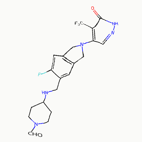 O=CN1CCC(NCc2cc3c(cc2F)CN(c2cn[nH]c(=O)c2C(F)(F)F)C3)CC1